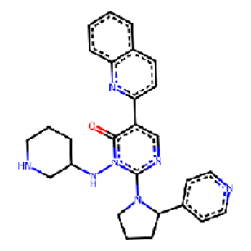 O=c1c(-c2ccc3ccccc3n2)cnc(N2CCCC2c2ccncc2)n1NC1CCCNC1